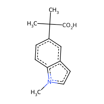 Cn1ccc2cc(C(C)(C)C(=O)O)ccc21